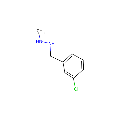 CNNCc1cccc(Cl)c1